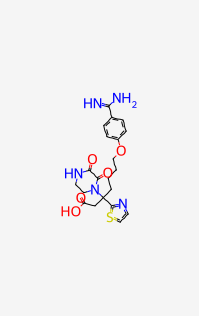 N=C(N)c1ccc(OCCCCC(CC(=O)O)(c2nccs2)N2CCNC(=O)C2=O)cc1